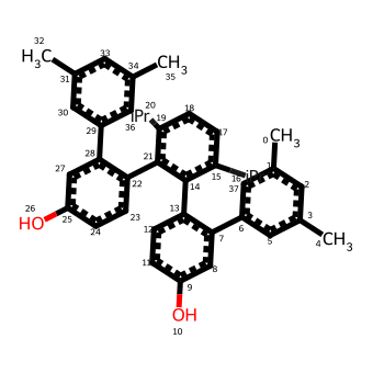 Cc1cc(C)cc(-c2cc(O)ccc2-c2c(C(C)C)ccc(C(C)C)c2-c2ccc(O)cc2-c2cc(C)cc(C)c2)c1